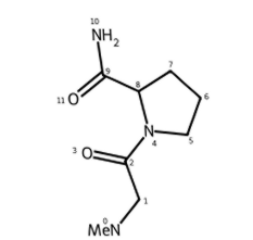 CNCC(=O)N1CCCC1C(N)=O